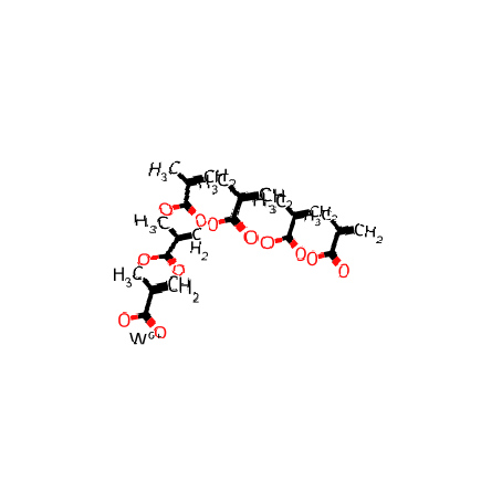 C=C(C)C(=O)[O-].C=C(C)C(=O)[O-].C=C(C)C(=O)[O-].C=C(C)C(=O)[O-].C=C(C)C(=O)[O-].C=C(C)C(=O)[O-].[W+6]